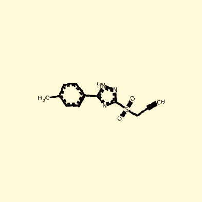 C#CCS(=O)(=O)c1n[nH]c(-c2ccc(C)cc2)n1